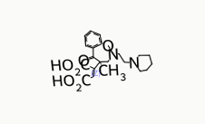 CC1(/C(=C/C(=O)O)C(=O)O)CN(CCN2CCCCC2)Oc2ccccc2C1=O